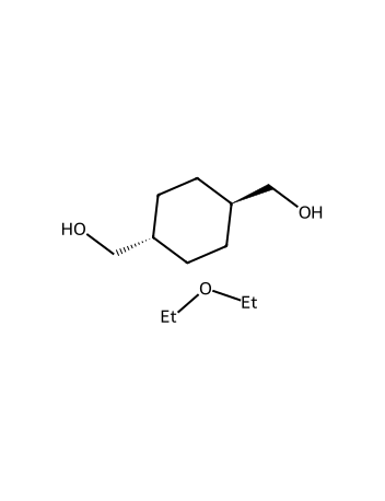 CCOCC.OC[C@H]1CC[C@H](CO)CC1